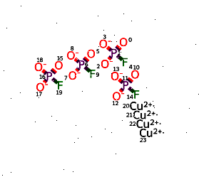 O=P([O-])([O-])F.O=P([O-])([O-])F.O=P([O-])([O-])F.O=P([O-])([O-])F.[Cu+2].[Cu+2].[Cu+2].[Cu+2]